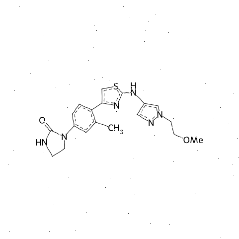 COCCn1cc(Nc2nc(-c3ccc(N4CCNC4=O)cc3C)cs2)cn1